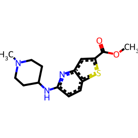 COC(=O)c1cc2nc(NC3CCN(C)CC3)ccc2s1